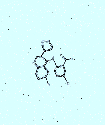 O=C(O)c1cc(Cl)ccc1Nc1c(-c2ccncc2)cnc2ccc(Br)cc12